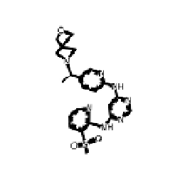 C[C@H](c1ccc(Nc2cc(Nc3ncccc3S(C)(=O)=O)ncn2)nc1)N1CC2(COC2)C1